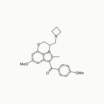 COc1ccc(C(=O)c2c(C)n3c4c(cc(OC)cc24)OCC3CN2CCC2)cc1